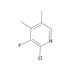 Cc1cnc(Cl)c(F)c1C